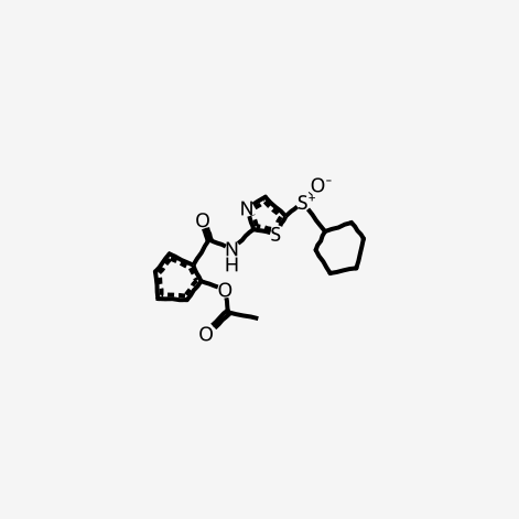 CC(=O)Oc1ccccc1C(=O)Nc1ncc([S+]([O-])C2CCCCC2)s1